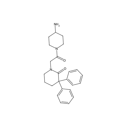 NC1CCN(C(=O)CN2CCCC(c3ccccc3)(c3ccccc3)C2=O)CC1